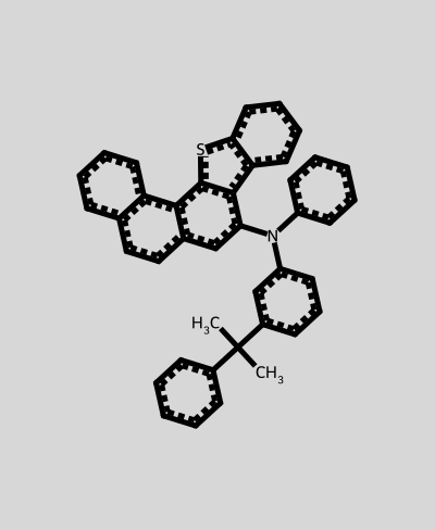 CC(C)(c1ccccc1)c1cccc(N(c2ccccc2)c2cc3ccc4ccccc4c3c3sc4ccccc4c23)c1